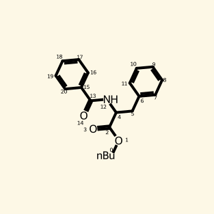 CCCCOC(=O)C(Cc1ccccc1)NC(=O)c1ccccc1